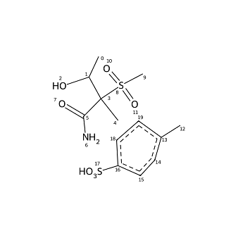 CC(O)C(C)(C(N)=O)S(C)(=O)=O.Cc1ccc(S(=O)(=O)O)cc1